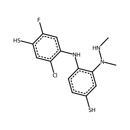 CNN(C)c1cc(S)ccc1Nc1cc(F)c(S)cc1Cl